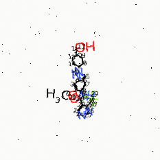 COc1cc2nn([C@H]3CC[C@H](CO)CC3)cc2cc1NC(=O)c1cncnc1C(F)(F)F